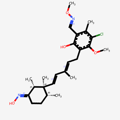 CO/N=C/c1c(C)c(Cl)c(OC)c(C/C=C(C)/C=C/[C@@]2(C)[C@H](C)CC/C(=N\O)[C@@H]2C)c1O